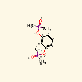 CP(C)(=O)Oc1cccc(OP(C)(C)=O)c1